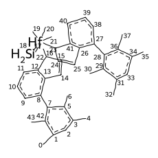 Cc1cc(C)c(C)c(-c2cccc3c2C=C[CH]3[Hf]([CH3])([CH3])([CH3])([CH3])(=[SiH2])[CH]2C=Cc3c(-c4c(C)c(C)cc(C)c4C)cccc32)c1C